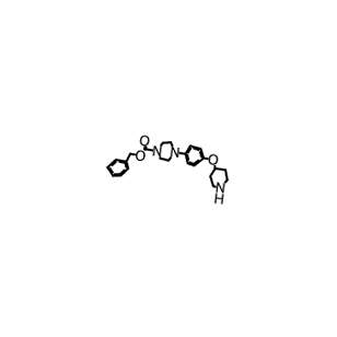 O=C(OCc1ccccc1)N1CCN(c2ccc(OC3CCNCC3)cc2)CC1